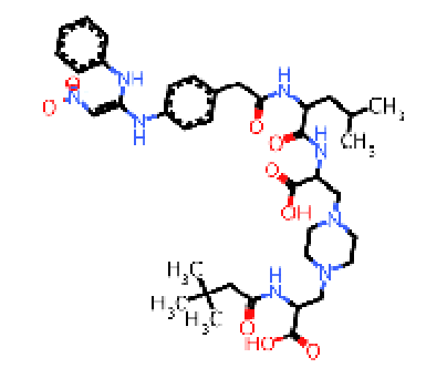 CC(C)CC(NC(=O)Cc1ccc(N/C(=C/[N+](=O)[O-])Nc2ccccc2)cc1)C(=O)NC(CN1CCN(CC(NC(=O)CC(C)(C)C)C(=O)O)CC1)C(=O)O